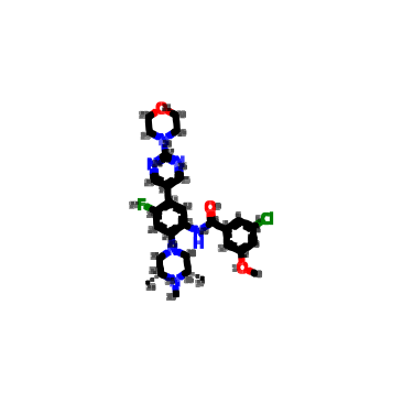 COc1cc(Cl)cc(C(=O)Nc2cc(-c3cnc(N4CCOCC4)nc3)c(F)cc2N2C[C@@H](C)N(C)[C@@H](C)C2)c1